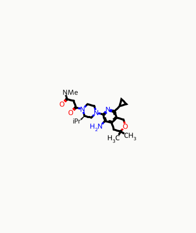 CNC(=O)CC(=O)N1CCN(c2nc(C3CC3)c3c(c2N)CC(C)(C)OC3)C[C@H]1C(C)C